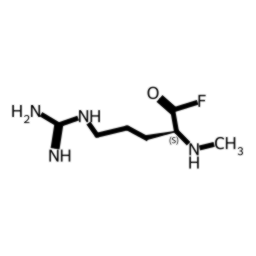 CN[C@@H](CCCNC(=N)N)C(=O)F